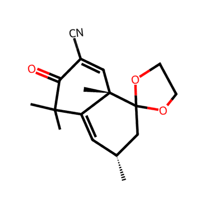 C[C@@H]1C=C2C(C)(C)C(=O)C(C#N)=C[C@]2(C)C2(C1)OCCO2